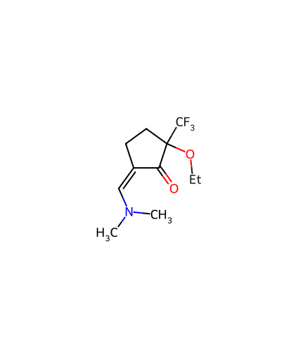 CCOC1(C(F)(F)F)CC/C(=C/N(C)C)C1=O